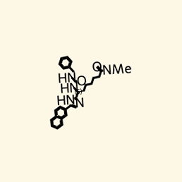 CNC(=O)CCCCC[C@H](NC(=O)NCc1ccccc1)c1ncc(-c2ccc3ccccc3c2)[nH]1